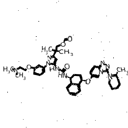 C[C@H]1CCCCN1c1nnc2ccc(O[C@@H]3CC[C@H](NC(=O)Nc4cc(C(C)(C)COC=O)nn4-c4cccc(OCCN(C)C)c4)c4ccccc43)cn12